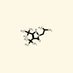 CC(C)Cn1[nH]c(C(C)(C)C)c(C(C)(C)C)c1=O